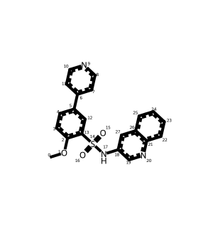 COc1ccc(-c2ccncc2)cc1S(=O)(=O)Nc1cnc2ccccc2c1